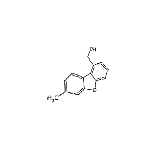 Cc1ccc2c(c1)oc1cccc(CO)c12